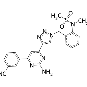 CN(c1ccccc1Cn1cc(-c2cc(-c3cccc(C#N)c3)nc(N)n2)nn1)S(C)(=O)=O